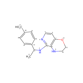 CC(Nc1nccc2c1NCCO2)c1ccc(C(=O)O)cc1